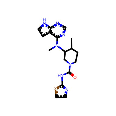 CC1CCN(C(=O)Nc2nccs2)CC1N(C)c1ncnc2[nH]ccc12